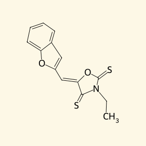 CCN1C(=S)O/C(=C\c2cc3ccccc3o2)C1=S